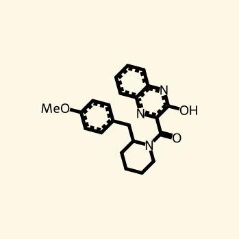 COc1ccc(CC2CCCCN2C(=O)c2nc3ccccc3nc2O)cc1